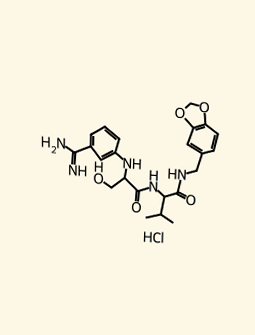 CC(C)C(NC(=O)C(CO)Nc1cccc(C(=N)N)c1)C(=O)NCc1ccc2c(c1)OCO2.Cl